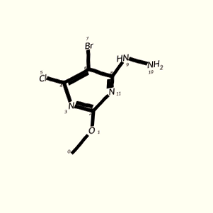 COc1nc(Cl)c(Br)c(NN)n1